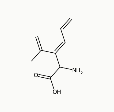 C=C/C=C(\C(=C)C)C(N)C(=O)O